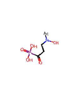 CC(=O)N(O)CCC(=O)P(=O)(O)O